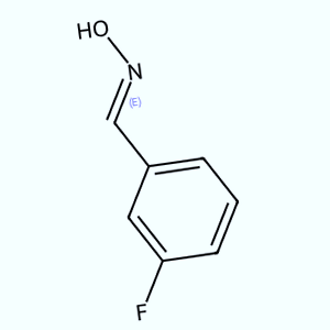 O/N=C/c1cccc(F)c1